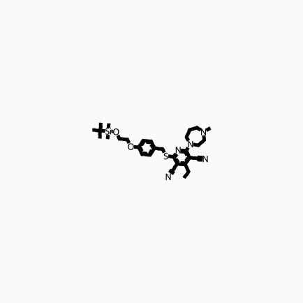 CCc1c(C#N)c(SCc2ccc(OCCO[Si](C)(C)C(C)(C)C)cc2)nc(N2CCCN(C)CC2)c1C#N